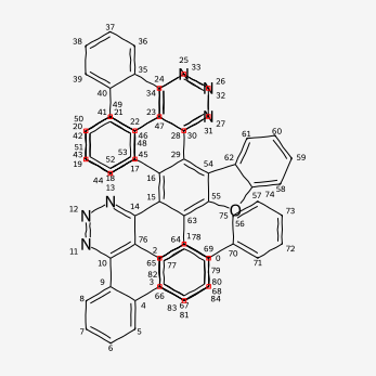 c1ccc(-c2ccccc2-c2nnnc(-c3c(-c4ccccc4-c4ccccc4)c(-c4nnnc(-c5ccccc5-c5ccccc5)c4-c4ccccc4)c4c(oc5ccccc54)c3-c3ccccc3-c3ccccc3)c2-c2ccccc2)cc1